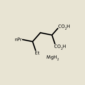 CCCC(CC)CC(C(=O)O)C(=O)O.[MgH2]